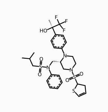 CC(C)CS(=O)(=O)N(C[C@H]1CN(S(=O)(=O)C2CC=CS2)CCN1c1ccc([C@@](C)(O)C(F)(F)F)cc1)c1ccccc1